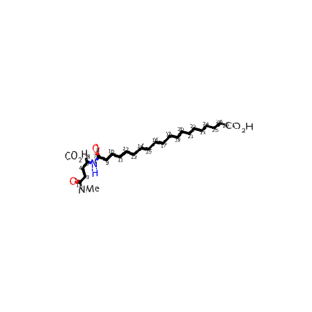 CNC(=O)CCC(NC(=O)CCCCCCCCCCCCCCCCCCC(=O)O)C(=O)O